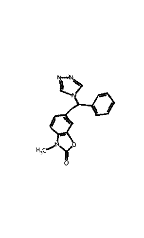 Cn1c(=O)oc2cc(C(c3ccccc3)n3cnnc3)ccc21